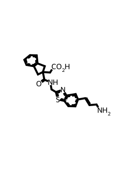 NC/C=C/c1ccc2sc(CNC(=O)C3(CC(=O)O)Cc4ccccc4C3)nc2c1